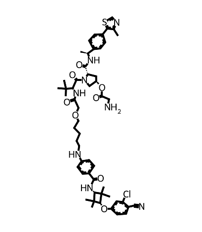 Cc1ncsc1-c1ccc([C@H](C)NC(=O)[C@@H]2C[C@@H](OC(=O)CN)CN2C(=O)[C@@H](NC(=O)COCCCCCNc2ccc(C(=O)N[C@H]3C(C)(C)[C@H](Oc4ccc(C#N)c(Cl)c4)C3(C)C)cc2)C(C)(C)C)cc1